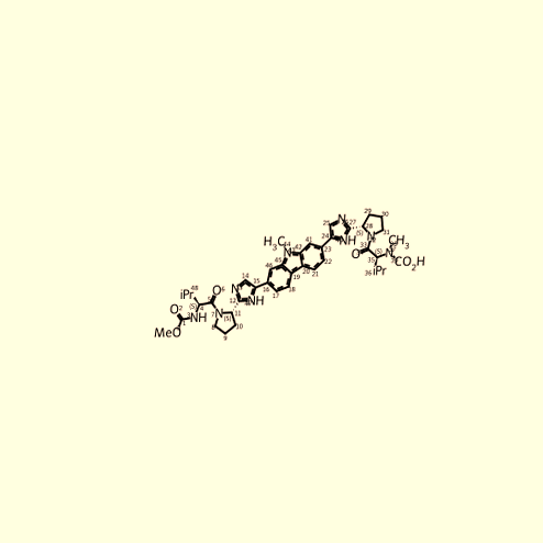 COC(=O)N[C@H](C(=O)N1CCC[C@H]1c1ncc(-c2ccc3c4ccc(-c5cnc([C@@H]6CCCN6C(=O)[C@H](C(C)C)N(C)C(=O)O)[nH]5)cc4n(C)c3c2)[nH]1)C(C)C